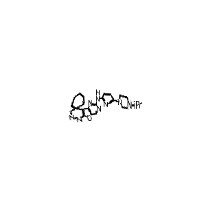 CC(C)N1CCN(c2ccc(Nc3ncc4oc5c(c4n3)C3(CCCCC3)CN=N5)nc2)CC1